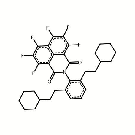 O=C1c2c(F)c(F)c(F)c3c(F)c(F)c(F)c(c23)C(=O)N1c1c(CCC2CCCCC2)cccc1CCC1CCCCC1